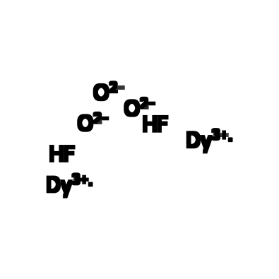 F.F.[Dy+3].[Dy+3].[O-2].[O-2].[O-2]